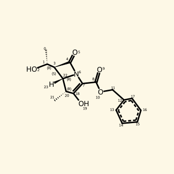 C[C@@H](O)[C@H]1C(=O)N2C(C(=O)OCc3ccccc3)=C(O)[C@H](C)[C@H]12